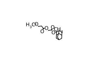 COCCC(=O)OCC(=O)OC1(C)C2CC3CC(C2)CC1C3